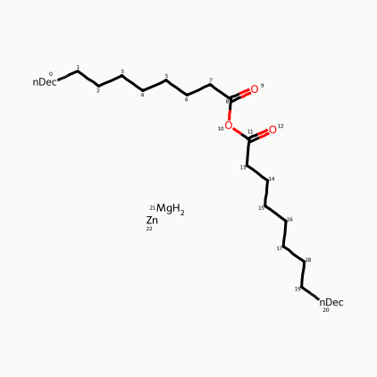 CCCCCCCCCCCCCCCCCC(=O)OC(=O)CCCCCCCCCCCCCCCCC.[MgH2].[Zn]